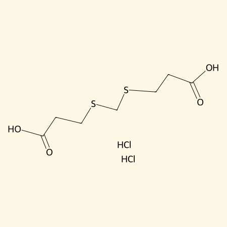 Cl.Cl.O=C(O)CCSCSCCC(=O)O